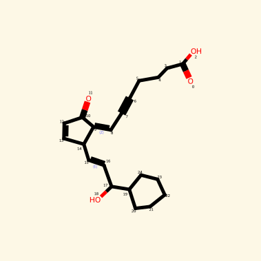 O=C(O)CCCC#C/C=C1\C(=O)C=CC1/C=C/C(O)C1CCCCC1